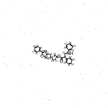 C[N+]1(Cc2noc(-c3ccccc3)n2)CC[C@@H](OC(=O)C(CNc2ccccc2)c2ccccc2)C1